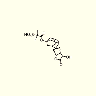 O=C1OC2SC3(SC2C1O)C1CC2CC3CC(OC(=O)C(F)(F)S(=O)(=O)O)(C2)C1